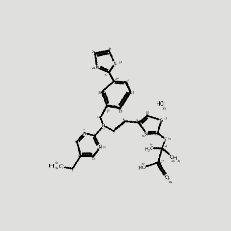 CCc1cnc(N(CCc2csc(SC(C)(C)C(=O)O)n2)Cc2cccc(-c3nccs3)c2)nc1.Cl